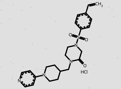 C=Cc1ccc(S(=O)(=O)N2CCN(CC3CCN(c4ccncc4)CC3)C(=O)C2)cc1.Cl